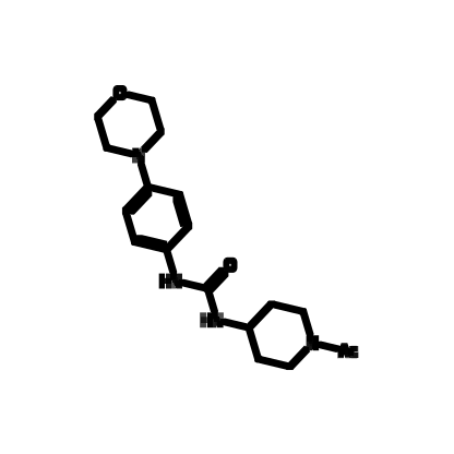 CC(=O)N1CCC(NC(=O)Nc2ccc(N3CCOCC3)cc2)CC1